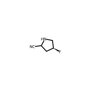 N#CC1C[C@H](F)CN1